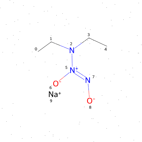 CCN(CC)[N+]([O-])=N[O-].[Na+]